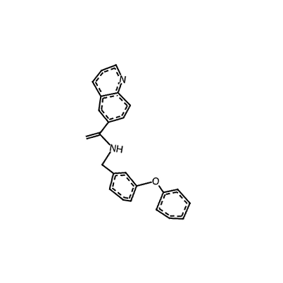 C=C(NCc1cccc(Oc2ccccc2)c1)c1ccc2ncccc2c1